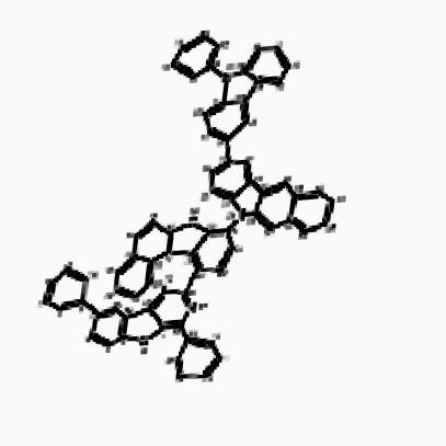 c1ccc(-c2ccc3oc4c(-c5ccccc5)nc(-c5ccc(-n6c7ccc(-c8ccc9c(c8)c8ccccc8n9-c8ccccc8)cc7c7cc8ccccc8cc76)c6oc7ccc8ccccc8c7c56)nc4c3c2)cc1